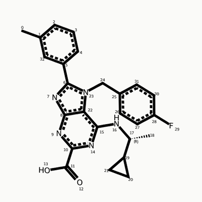 Cc1cccc(-c2nc3nc(C(=O)O)nc(N[C@H](C)C4CC4)c3n2Cc2ccc(F)cc2)c1